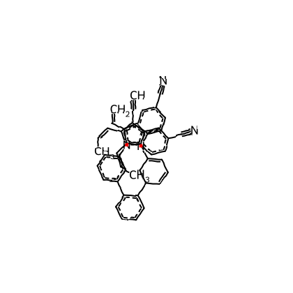 C#Cc1c(/C=C\C)n(-c2cccc(-c3ccccc3C3C=CC=C(n4c(/C=C\C)c(C=C)c5cc(C#N)ccc54)C3)c2)c2ccc(C#N)cc12